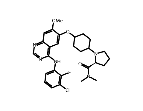 COc1cc2ncnc(Nc3cccc(Cl)c3F)c2cc1OC1CCC(N2CCC[C@H]2C(=O)N(C)C)CC1